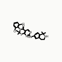 CC1(C)NCCc2cc(Nc3ncc4c(n3)SC(C)(C)N(c3c(Cl)cccc3Cl)C4=O)ccc21